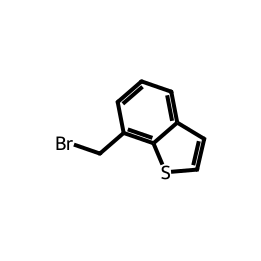 BrCc1cccc2ccsc12